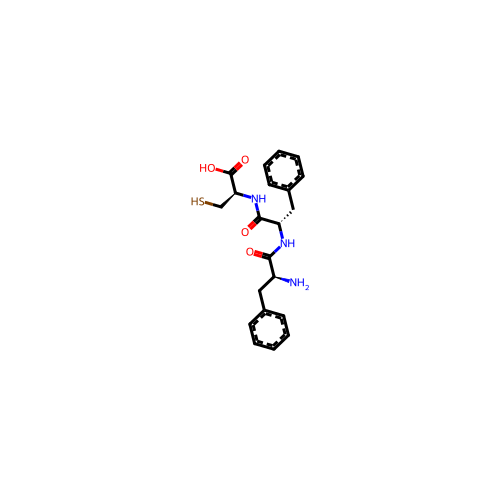 N[C@@H](Cc1ccccc1)C(=O)N[C@@H](Cc1ccccc1)C(=O)N[C@@H](CS)C(=O)O